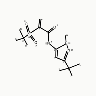 C=C(C(=O)Nc1cc(C(C)(C)C)nn1C)S(=O)(=O)C(C)(C)C